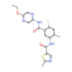 CCOc1cnc(NC(=O)c2cc(NC(=O)c3cnc(C)s3)c(C)cc2F)cn1